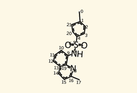 Cc1ccc(S(=O)(=O)Nc2cccc3ccc(C)nc23)cc1